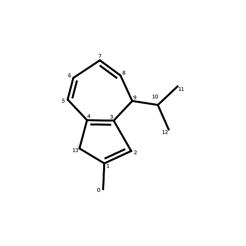 CC1=CC2=C(C=CC=CC2C(C)C)C1